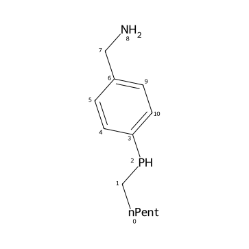 CCCCCCPc1ccc(CN)cc1